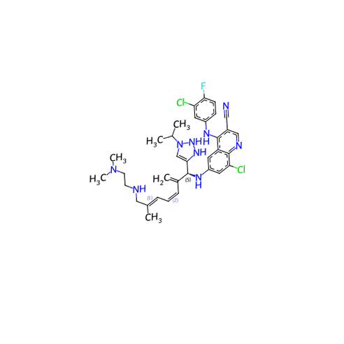 C=C(/C=C\C=C(/C)CNCCN(C)C)[C@H](Nc1cc(Cl)c2ncc(C#N)c(Nc3ccc(F)c(Cl)c3)c2c1)C1=CN(C(C)C)NN1